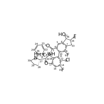 CNC(=O)c1cc2c(c(F)c1-c1c(Cl)c(F)cc3c1C[C@](C1C=CC=CC1)([C@@H]1CCCN1)O3)CC(F)C2O